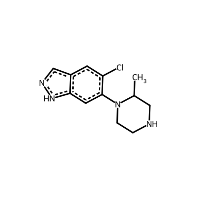 CC1CNCCN1c1cc2[nH]ncc2cc1Cl